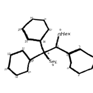 CCCCCCC(C1CCCCC1)[C]([Sn])(C1CCCCC1)C1CCCCC1